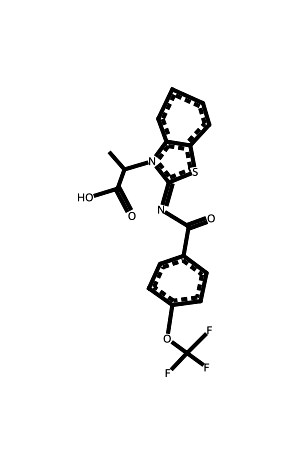 CC(C(=O)O)n1c(=NC(=O)c2ccc(OC(F)(F)F)cc2)sc2ccccc21